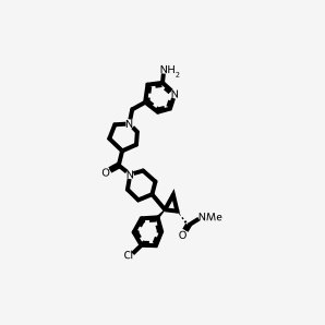 CNC(=O)[C@H]1C[C@@]1(c1ccc(Cl)cc1)C1CCN(C(=O)C2CCN(Cc3ccnc(N)c3)CC2)CC1